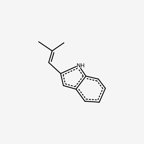 CC(C)=Cc1cc2ccccc2[nH]1